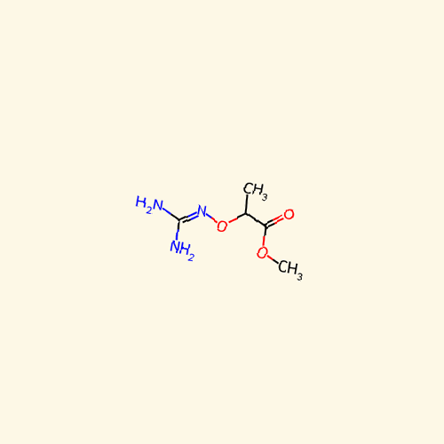 COC(=O)C(C)ON=C(N)N